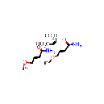 CC(C)OCC=CC(N)=O.CC(C)OCC=CC(N)=O.O=C(O)/C=C\C(=O)O